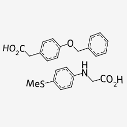 CSc1ccc(NCC(=O)O)cc1.O=C(O)Cc1ccc(OCc2ccccc2)cc1